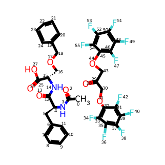 CC(=O)N[C@@H](Cc1ccccc1)C(=O)N[C@@H](COCc1ccccc1)C(=O)O.O=C(COc1c(F)c(F)c(F)c(F)c1F)COc1c(F)c(F)c(F)c(F)c1F